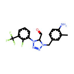 Cc1cc(CN2N=NN(c3cccc(C(F)(F)F)c3F)C2C=O)ccc1N